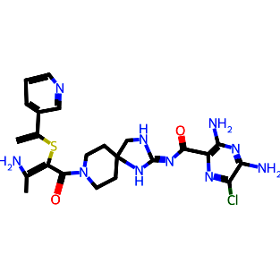 C=C(S/C(C(=O)N1CCC2(CC1)CN/C(=N\C(=O)c1nc(Cl)c(N)nc1N)N2)=C(/C)N)c1cccnc1